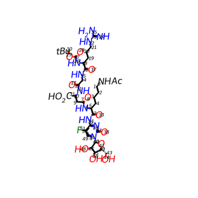 CC(=O)NCCCCC(NC(=O)CC(NC(=O)CNC(=O)C(CCCNC(=N)N)NC(=O)OC(C)(C)C)C(=O)O)C(=O)Nc1nc(=O)n([C@@H]2O[C@H](CO)C(O)C2O)cc1F